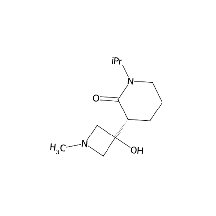 CC(C)N1CCC[C@H](C2(O)CN(C)C2)C1=O